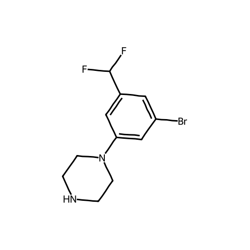 FC(F)c1cc(Br)cc(N2CCNCC2)c1